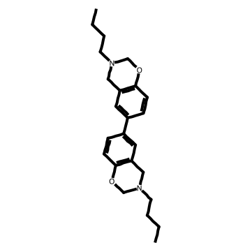 CCCCN1COc2ccc(-c3ccc4c(c3)CN(CCCC)CO4)cc2C1